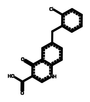 O=C(O)c1c[nH]c2ccc(Cc3ccccc3Cl)cc2c1=O